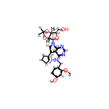 COc1ccc(CNc2ncnc3c2c(C2=CCCC2)cn3[C@@H]2O[C@H](CO)[C@H]3OC(C)(C)O[C@H]32)c(OC)c1